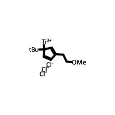 COCCC1=C[C]([Ti+3])(C(C)(C)C)C=C1.[Cl-].[Cl-].[Cl-]